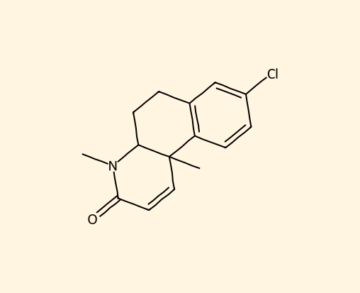 CN1C(=O)C=CC2(C)c3ccc(Cl)cc3CCC12